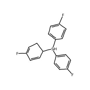 FC1=CCC([SiH](c2ccc(F)cc2)c2ccc(F)cc2)C=C1